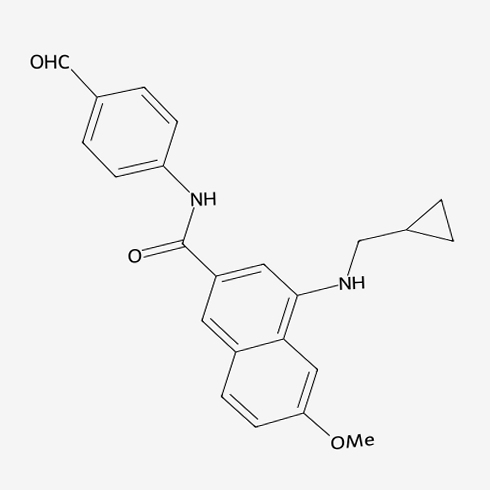 COc1ccc2cc(C(=O)Nc3ccc(C=O)cc3)cc(NCC3CC3)c2c1